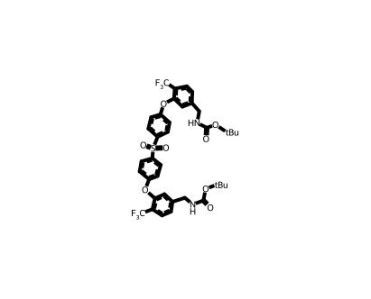 CC(C)(C)OC(=O)NCc1ccc(C(F)(F)F)c(Oc2ccc(S(=O)(=O)c3ccc(Oc4cc(CNC(=O)OC(C)(C)C)ccc4C(F)(F)F)cc3)cc2)c1